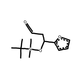 CC(C)(C)[Si](C)(C)OC(CC=O)c1ccco1